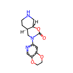 O=C1O[C@H]2CNCC[C@@H]2CN1c1cc2c(cn1)OCCO2